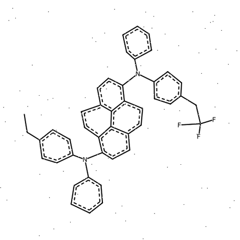 CCc1ccc(N(c2ccccc2)c2ccc3ccc4c(N(c5ccccc5)c5ccc(CC(F)(F)F)cc5)ccc5ccc2c3c54)cc1